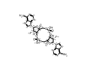 Nc1ncnc2c1ncn2[C@@H]1O[C@@H]2CO[P@@](=O)(S)O[C@H]3[C@H](F)[C@H](n4cnc5c(N)ncnc54)O[C@@H]3CO[P@](=O)(S)O[C@H]2[C@@H]1F